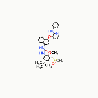 COc1c(C[S+](C)[O-])cc(C(C)(C)C)cc1NC(=O)Nc1ccc(Oc2cccnc2Nc2ccccc2)c2ccccc12